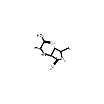 CC1CC(N[C@@H](C)C(=O)O)C(=O)O1